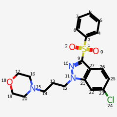 O=S(=O)(c1ccccc1)c1nn(CCCN2CCOCC2)c2cc(Cl)ccc12